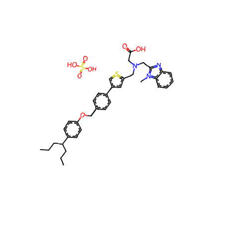 CCCC(CCC)c1ccc(OCc2ccc(-c3csc(CN(CC(=O)O)Cc4nc5ccccc5n4C)c3)cc2)cc1.O=S(=O)(O)O